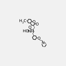 Cc1ccc2oc(=O)c(CC(CCc3cccc(OCCN4C=CC=CC4)c3)C(=O)NO)cc2c1